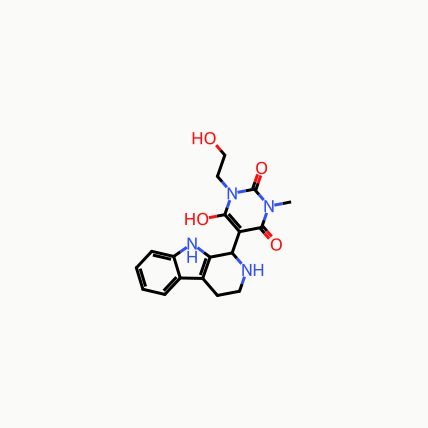 Cn1c(=O)c(C2NCCc3c2[nH]c2ccccc32)c(O)n(CCO)c1=O